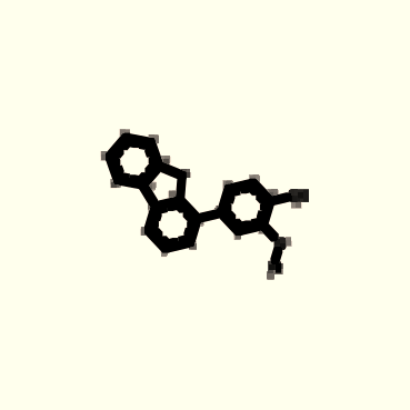 CCOc1cc(-c2cccc3c2Cc2ccccc2-3)ccc1O